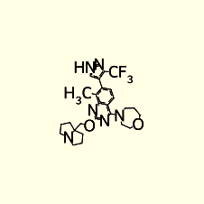 Cc1c(-c2c[nH]nc2C(F)(F)F)ccc2c(N3CCCOCC3)nc(OCC34CCCN3CCC4)nc12